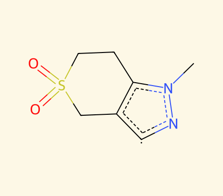 Cn1n[c]c2c1CCS(=O)(=O)C2